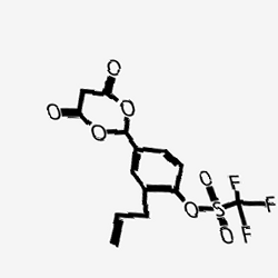 C=CCc1cc(C2OC(=O)CC(=O)O2)ccc1OS(=O)(=O)C(F)(F)F